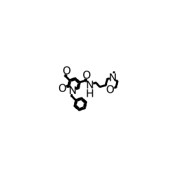 CN1CCOC(CCNC(=O)c2cc(C=O)c(=O)n(Cc3ccccc3)c2)C1